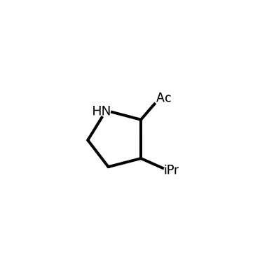 CC(=O)C1NCCC1C(C)C